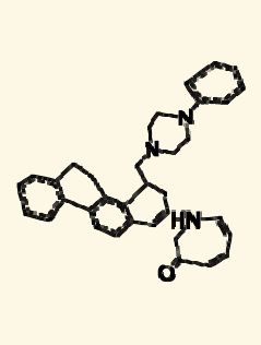 C1=Cc2ccc3c(c2C(CN2CCN(c4ccccc4)CC2)C1)CCc1ccccc1-3.O=C1C=CC=CNC1